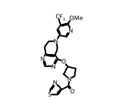 COc1ncc(N2CCc3ncnc(OC4CCN(C(=O)c5cscn5)C4)c3C2)cc1C(F)(F)F